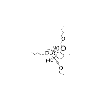 CC#CC1(O)C(OCOCCCC)C(C)CCC1(OCOCCCC)C(C)(O)C#COCC